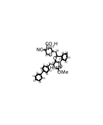 COC(=O)N[C@@H](Cc1ccc(-c2ccccc2)cc1)C(=O)Nc1ccccc1CC[C@@H]1CN(C(=O)O)[C@H](C#N)CO1